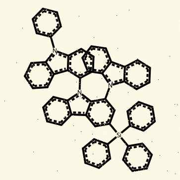 c1ccc(-n2c3ccccc3c3c(-n4c5ccccc5c5cc([Si](c6ccccc6)(c6ccccc6)c6ccccc6)cc(-n6c7ccccc7c7ccccc76)c54)cccc32)cc1